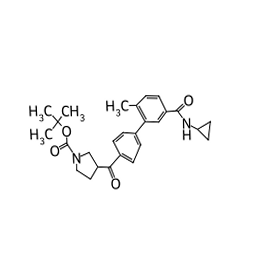 Cc1ccc(C(=O)NC2CC2)cc1-c1ccc(C(=O)C2CCN(C(=O)OC(C)(C)C)C2)cc1